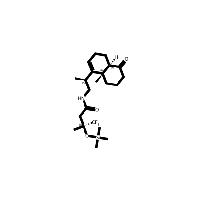 C[C@H](CNC(=O)C[C@](C)(O[Si](C)(C)C)C(F)(F)F)C1=CCC[C@H]2C(=O)CCC[C@]12C